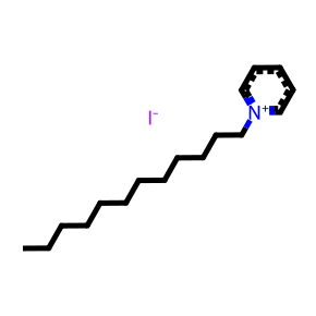 CCCCCCCCCCCC[n+]1ccccc1.[I-]